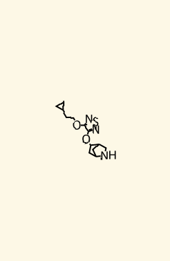 C(CC1CC1)Oc1nsnc1OC1CC2CC1CN2